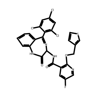 O=C(NC1N=C(c2c(Cl)cc(Cl)cc2Cl)c2ccccc2NC1=O)c1cc(F)cnc1OCc1ccsc1